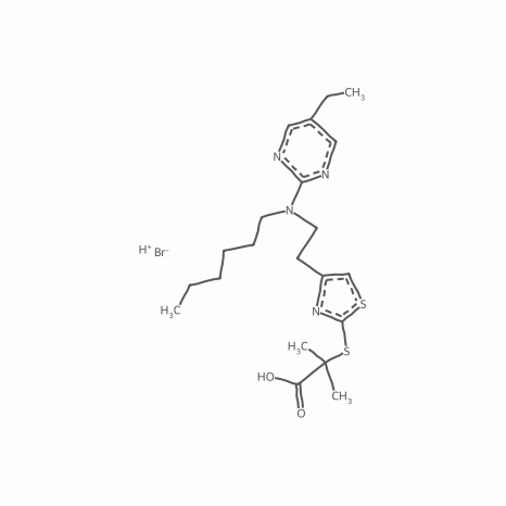 CCCCCCN(CCc1csc(SC(C)(C)C(=O)O)n1)c1ncc(CC)cn1.[Br-].[H+]